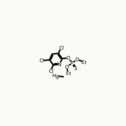 CCOP(=S)(OCC)Oc1nc(Cl)c(Cl)cc1Cl.[CH3][Hg]